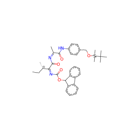 CC[C@H](C)C(=NC(=O)OC1c2ccccc2-c2ccccc21)C(=O)N=C(C)C(=O)Nc1ccc(CO[Si](C)(C)C(C)(C)C)cc1